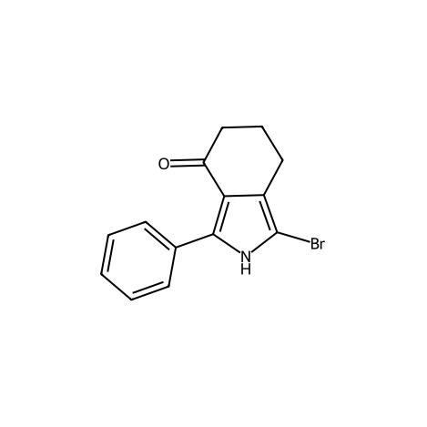 O=C1CCCc2c(Br)[nH]c(-c3ccccc3)c21